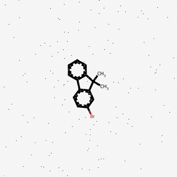 CC1(C)c2c[c]ccc2-c2ccc(Br)cc21